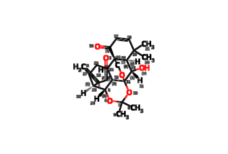 C=C1C(=O)[C@@]23[C@@H]4OC(C)(C)OC25OC[C@]2(C(=O)C=CC(C)(C)[C@H]2[C@@H]5O)[C@@H]3CC[C@@H]14